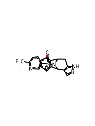 O=S(=O)(c1ccc(C(F)(F)F)nc1)N1C2Cc3[nH]ncc3C1c1cccc(Cl)c12